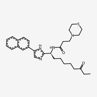 CCC(=O)CCCCC[C@H](NC(=O)CCN1CCSCC1)c1ncc(-c2ccc3ccccc3c2)[nH]1